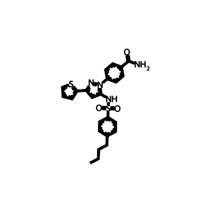 CCCCc1ccc(S(=O)(=O)Nc2cc(-c3cccs3)nn2-c2ccc(C(N)=O)cc2)cc1